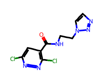 O=C(NCCn1ccnn1)c1cc(Cl)nnc1Cl